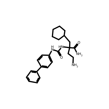 NCCC(CC1CCCCC1)(NC(=O)Nc1ccc(-c2ccccc2)cc1)C(N)=O